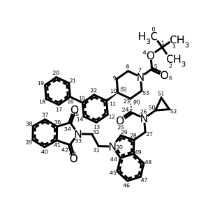 CC(C)(C)OC(=O)N1CC[C@H](c2cccc(-c3ccccc3)c2)[C@@H](C(=O)N(Cc2cn(CCN3C(=O)c4ccccc4C3=O)c3ccccc23)C2CC2)C1